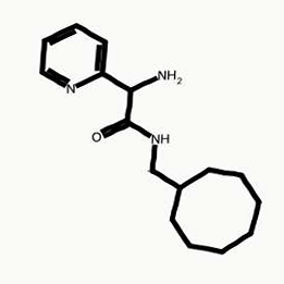 NC(C(=O)N[CH]C1CCCCCCC1)c1ccccn1